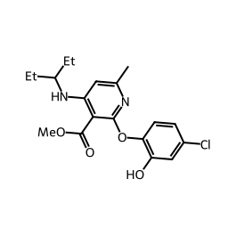 CCC(CC)Nc1cc(C)nc(Oc2ccc(Cl)cc2O)c1C(=O)OC